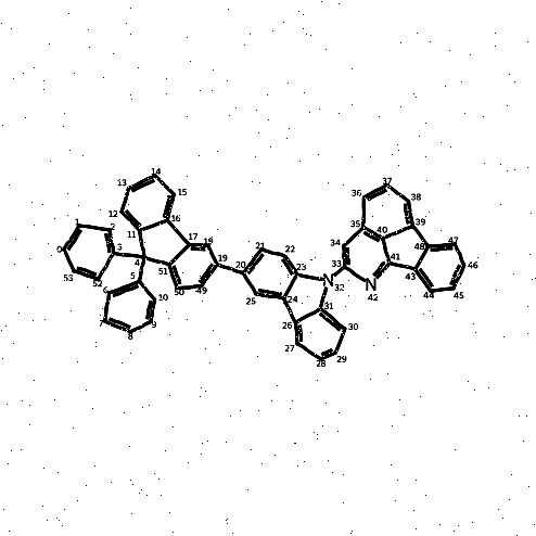 c1ccc(C2(c3ccccc3)c3ccccc3-c3cc(-c4ccc5c(c4)c4ccccc4n5-c4cc5cccc6c5c(n4)-c4ccccc4-6)ccc32)cc1